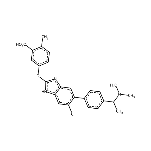 Cc1ccc(Oc2nc3cc(-c4ccc(C(C)N(C)C)cc4)c(Cl)cc3[nH]2)cc1C(=O)O